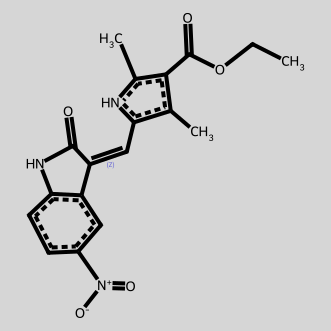 CCOC(=O)c1c(C)[nH]c(/C=C2\C(=O)Nc3ccc([N+](=O)[O-])cc32)c1C